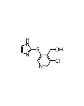 OCc1c(Cl)cncc1Sc1ncc[nH]1